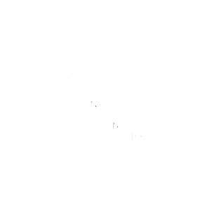 CC(CN1CCCN(C=O)CC1)c1ccccc1